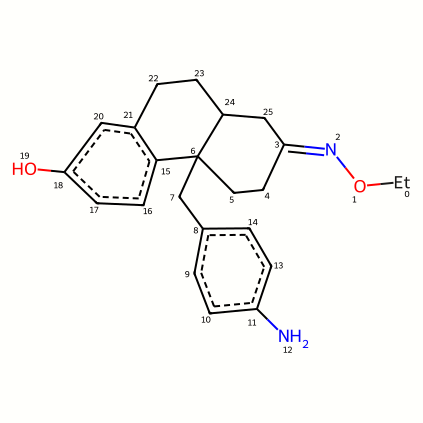 CCON=C1CCC2(Cc3ccc(N)cc3)c3ccc(O)cc3CCC2C1